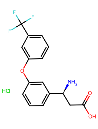 Cl.N[C@@H](CC(=O)O)c1cccc(Oc2cccc(C(F)(F)F)c2)c1